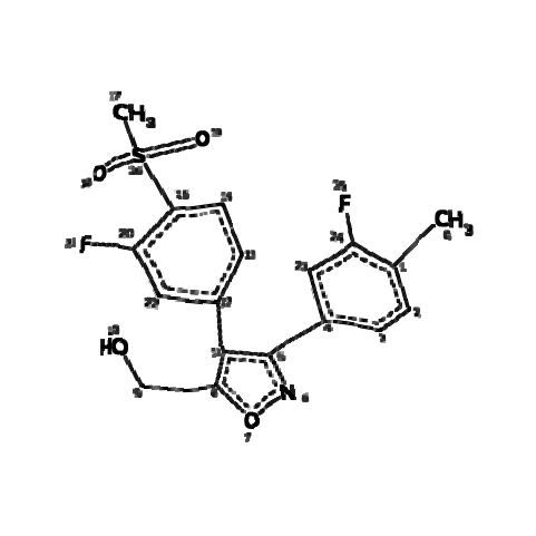 Cc1ccc(-c2noc(CO)c2-c2ccc(S(C)(=O)=O)c(F)c2)cc1F